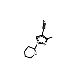 N#Cc1cn(C2CCCCO2)nc1I